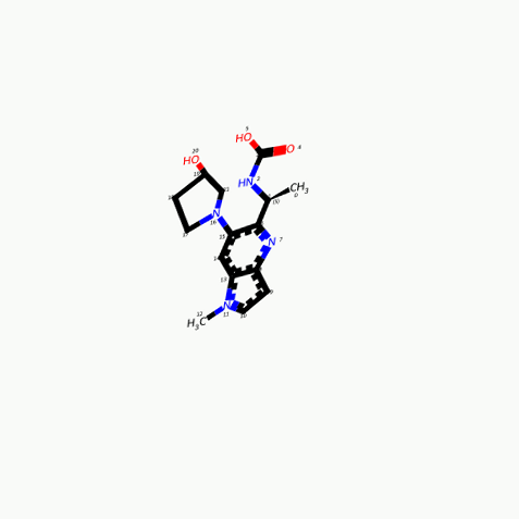 C[C@H](NC(=O)O)c1nc2ccn(C)c2cc1N1CCC(O)C1